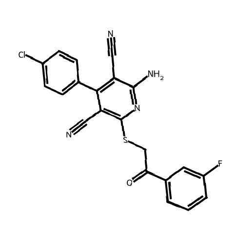 N#Cc1c(N)nc(SCC(=O)c2cccc(F)c2)c(C#N)c1-c1ccc(Cl)cc1